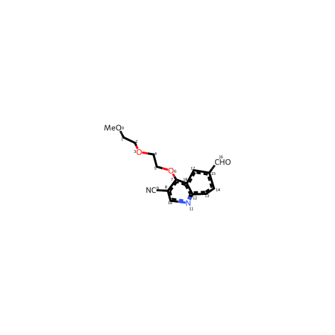 COCCOCCOc1c(C#N)cnc2ccc(C=O)cc12